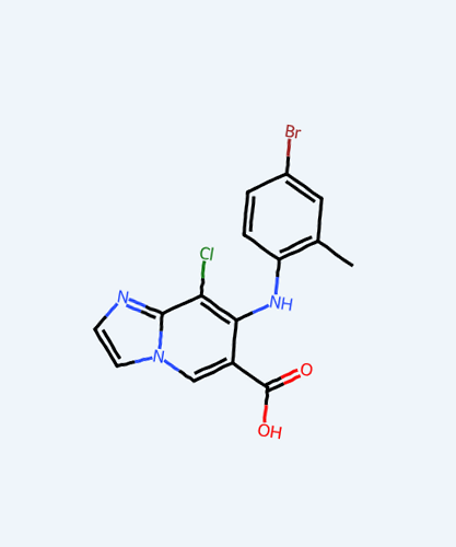 Cc1cc(Br)ccc1Nc1c(C(=O)O)cn2ccnc2c1Cl